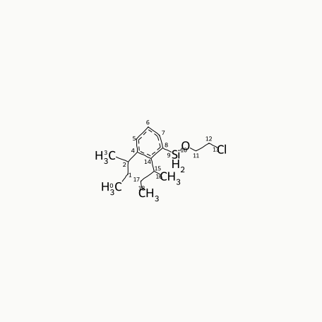 CCC(C)c1cccc([SiH2]OCCCl)c1C(C)CC